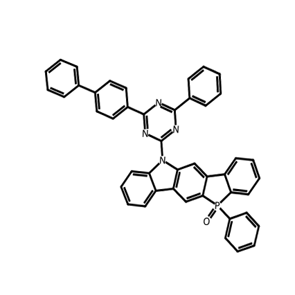 O=P1(c2ccccc2)c2ccccc2-c2cc3c(cc21)c1ccccc1n3-c1nc(-c2ccccc2)nc(-c2ccc(-c3ccccc3)cc2)n1